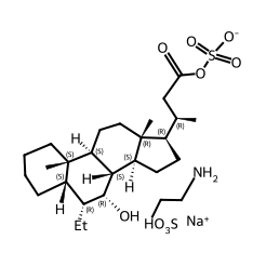 CC[C@H]1[C@@H](O)[C@@H]2[C@H](CC[C@]3(C)[C@@H]([C@H](C)CC(=O)OS(=O)(=O)[O-])CC[C@@H]23)[C@@]2(C)CCCC[C@@H]12.NCCS(=O)(=O)O.[Na+]